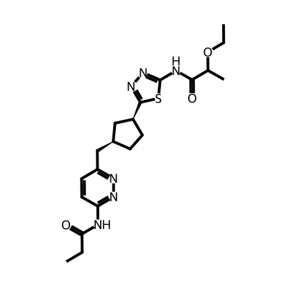 CCOC(C)C(=O)Nc1nnc([C@H]2CC[C@@H](Cc3ccc(NC(=O)CC)nn3)C2)s1